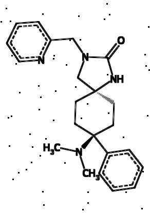 CN(C)[C@]1(c2ccccc2)CC[C@]2(CC1)CN(Cc1ccccn1)C(=O)N2